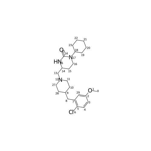 COc1ccc(Cl)c(CC2CCN(CC3CCN(C4CCCCC4)C(=O)N3)CC2)c1